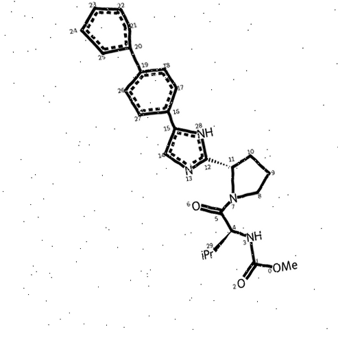 COC(=O)N[C@H](C(=O)N1CCC[C@H]1c1ncc(-c2ccc(-c3ccccc3)cc2)[nH]1)C(C)C